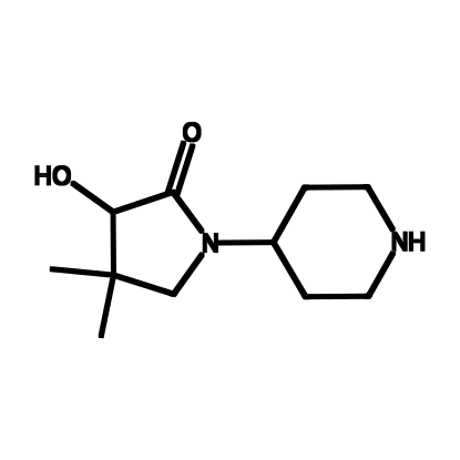 CC1(C)CN(C2CCNCC2)C(=O)C1O